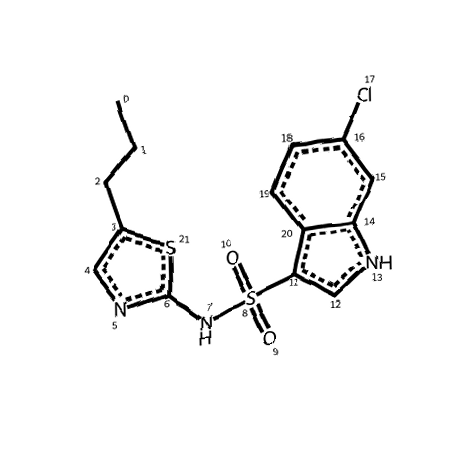 CCCc1cnc(NS(=O)(=O)c2c[nH]c3cc(Cl)ccc23)s1